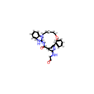 O=CCNc1cc2cc(n1)-c1ccccc1OCCCCCN1/C(=N/C2=O)Nc2ccccc21